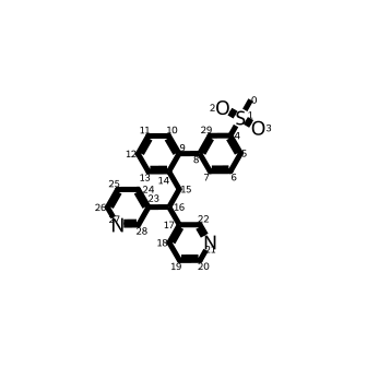 CS(=O)(=O)c1cccc(-c2ccccc2CC(c2cccnc2)c2cccnc2)c1